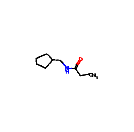 CCC(=O)NCC1CCCC1